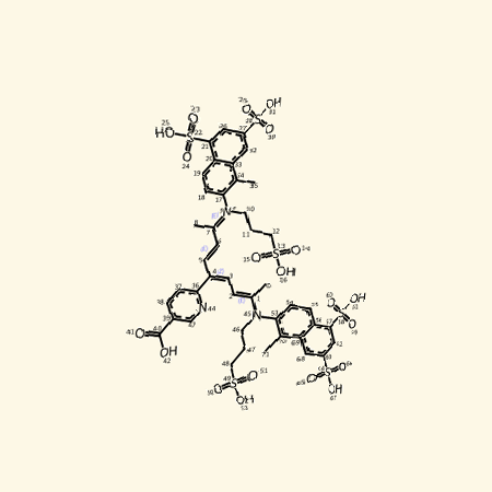 C\C(=C/C=C(/C=C/C(C)=[N+](\CCCS(=O)(=O)O)c1ccc2c(S(=O)(=O)O)cc(S(=O)(=O)O)cc2c1C)c1ccc(C(=O)O)cn1)N(CCCS(=O)(=O)O)c1ccc2c(S(=O)(=O)O)cc(S(=O)(=O)O)cc2c1C